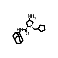 NC1C[C@H](C(=O)NC2C3CC4CC(C3)CC2C4)N(CC2CCCC2)C1